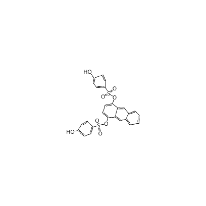 O=S(=O)(Oc1ccc(OS(=O)(=O)c2ccc(O)cc2)c2cc3ccccc3cc12)c1ccc(O)cc1